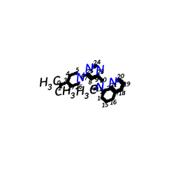 CC(C)C1CCN(c2cc(CN(C)C3CCCc4cccnc43)ncn2)CC1